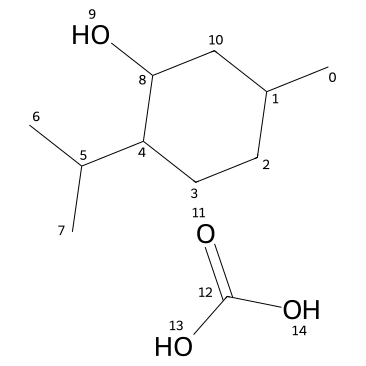 CC1CCC(C(C)C)C(O)C1.O=C(O)O